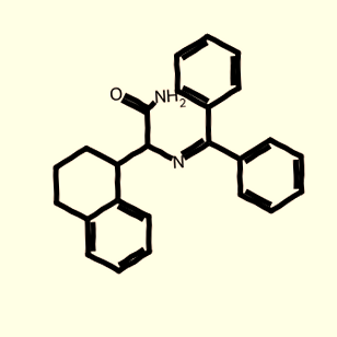 NC(=O)C(N=C(c1ccccc1)c1ccccc1)C1CCCc2ccccc21